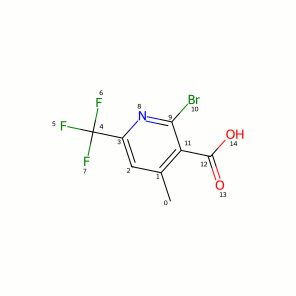 Cc1cc(C(F)(F)F)nc(Br)c1C(=O)O